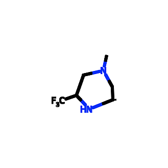 CN1C[CH]NC(C(F)(F)F)C1